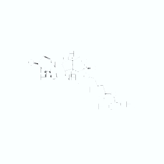 CC(C)OC(=O)C[C@H](F)COP1(=O)C[C@@H]2[C@@H](CO1)O[C@@H](n1ccc(=O)[nH]c1=O)[C@]2(C)N